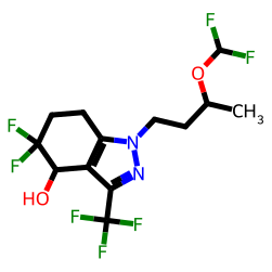 CC(CCn1nc(C(F)(F)F)c2c1CCC(F)(F)C2O)OC(F)F